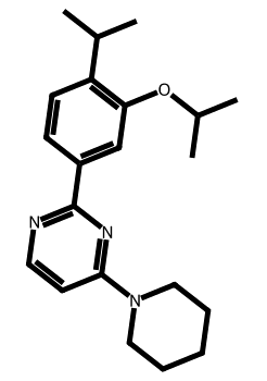 CC(C)Oc1cc(-c2nccc(N3CCCCC3)n2)ccc1C(C)C